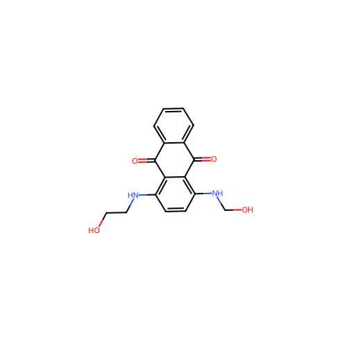 O=C1c2ccccc2C(=O)c2c(NCCO)ccc(NCO)c21